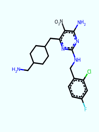 NCC1CCC(Cc2nc(NCc3ccc(F)cc3Cl)nc(N)c2[N+](=O)[O-])CC1